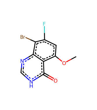 COc1cc(F)c(Br)c2nc[nH]c(=O)c12